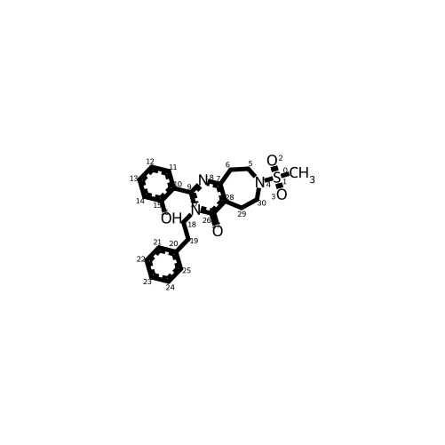 CS(=O)(=O)N1CCc2nc(-c3ccccc3O)n(CCc3ccccc3)c(=O)c2CC1